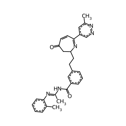 C/C(=N\c1ccccc1C)NC(=O)c1cccc(CCC2CC(=O)C=CC(c3cnnc(C)c3)=N2)c1